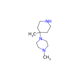 CN1CCN(C2(C)CCNCC2)CC1